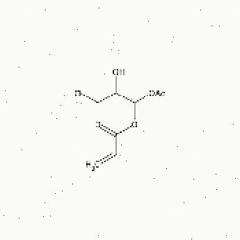 C=CC(=O)OC(OC(C)=O)C(O)CCl